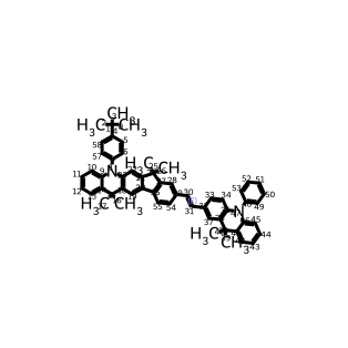 CC(C)(C)c1ccc(N2c3ccccc3C(C)(C)c3cc4c(cc32)C(C)(C)c2cc(/C=C/c3ccc5c(c3)C(C)(C)c3ccccc3N5c3ccccc3)ccc2-4)cc1